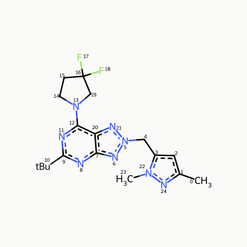 Cc1cc(Cn2nc3nc(C(C)(C)C)nc(N4CCC(F)(F)C4)c3n2)n(C)n1